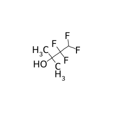 CC(C)(O)C(F)(F)C(F)F